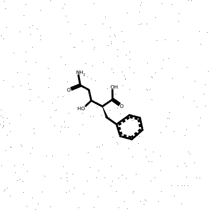 NC(=O)CC(O)[C@H](Cc1ccccc1)C(=O)O